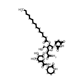 CCCCCCCCCCCCCCC(=O)O[C@@H]1[C@H](CO)[C@@H]([C@@H](O[C@H]2OC(C(=O)N[C@H]3CCCCNC3=O)=C[C@H](O)[C@@H]2O)C(N)=O)O[C@H]1n1ccc(=O)[nH]c1=O